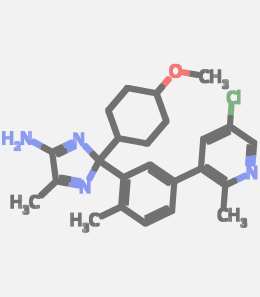 COC1CCC(C2(c3cc(-c4cc(Cl)cnc4C)ccc3C)N=C(C)C(N)=N2)CC1